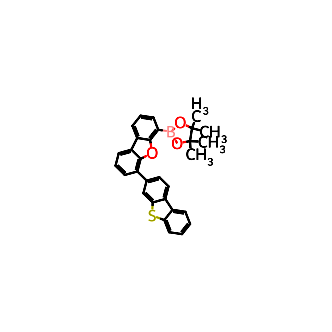 CC1(C)OB(c2cccc3c2oc2c(-c4ccc5c(c4)sc4ccccc45)cccc23)OC1(C)C